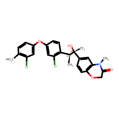 C[C@@H](c1ccc(Oc2ccc(C(=O)O)c(Cl)c2)cc1Cl)[C@](O)(c1ccc2c(c1)N(C)C(=O)CO2)C(F)(F)F